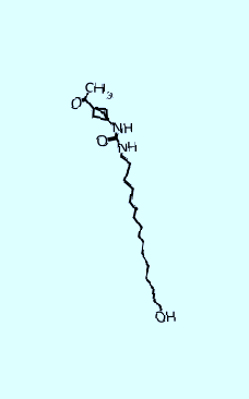 CC(=O)C12CC(NC(=O)NCCCCCCCCCCCCCCCCO)(C1)C2